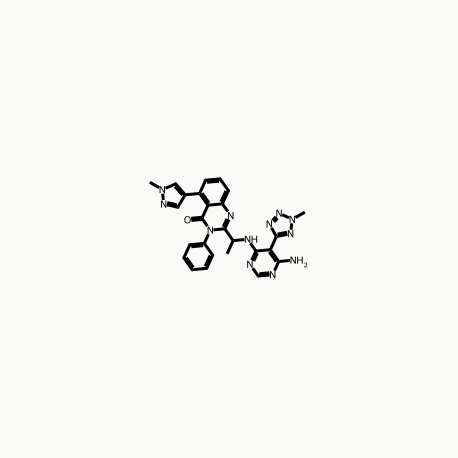 CC(Nc1ncnc(N)c1-c1nnn(C)n1)c1nc2cccc(-c3cnn(C)c3)c2c(=O)n1-c1ccccc1